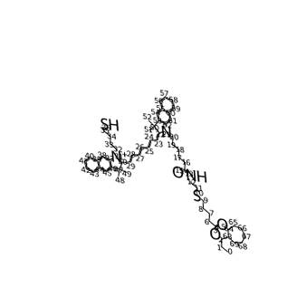 CCC(OC(=O)CCCCSCCNC(=O)CCCCCN1/C(=C/C=C/C=C/C=C/C2=[N+](CCCCS)c3cc4ccccc4cc3C2(C)C)C(C)(C)c2cc3ccccc3cc21)C1CCCCCC1